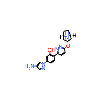 Nc1cnn(-c2ccc(-c3ccc(O[C@@H]4C[C@H]5CC[C@@H](C4)N5)nn3)c(O)c2)c1